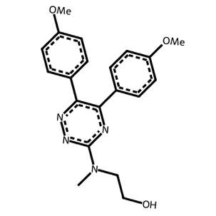 COc1ccc(-c2nnc(N(C)CCO)nc2-c2ccc(OC)cc2)cc1